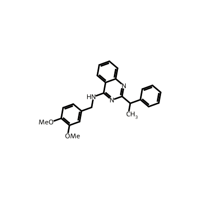 COc1ccc(CNc2nc(C(C)c3ccccc3)nc3ccccc23)cc1OC